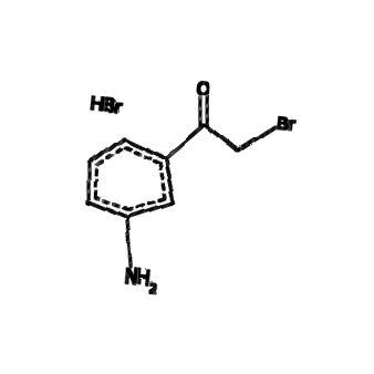 Br.Nc1cccc(C(=O)CBr)c1